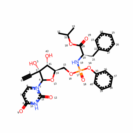 C#C[C@]1(O)C(n2ccc(=O)[nH]c2=O)O[C@H](COP(=O)(N[C@@H](Cc2ccccc2)C(=O)OC(C)C)Oc2ccccc2)[C@H]1O